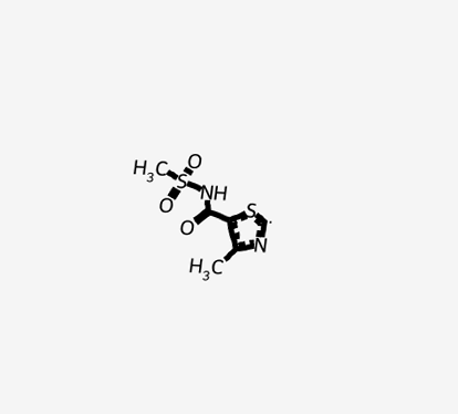 Cc1n[c]sc1C(=O)NS(C)(=O)=O